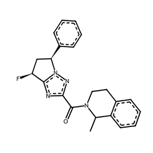 CC1c2ccccc2CCN1C(=O)c1nc2n(n1)[C@H](c1ccccc1)C[C@@H]2F